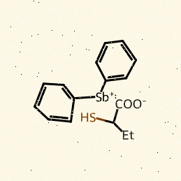 CCC(S)C(=O)[O-].c1cc[c]([Sb+][c]2ccccc2)cc1